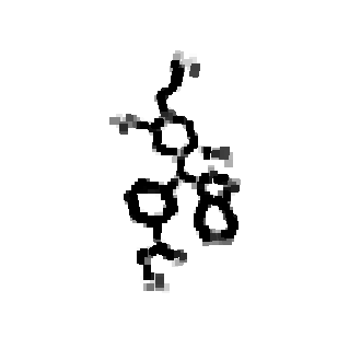 C=CCN1C[C@H](C)N([C@H](c2cccc(C(=O)OC)c2)n2nnc3ccccc32)C[C@H]1C